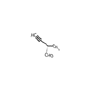 C#C[C@H](C)C=O